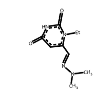 CCn1c(C=NN(C)C)cc(=O)[nH]c1=O